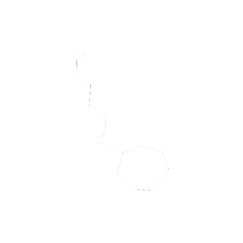 CCCCCO[C]1CCCCCC1